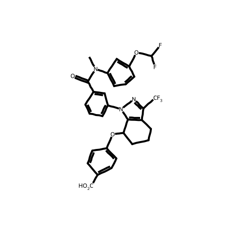 CN(C(=O)c1cccc(-n2nc(C(F)(F)F)c3c2C(Oc2ccc(C(=O)O)cc2)CCC3)c1)c1cccc(OC(F)F)c1